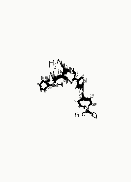 CC(=O)N1CCC(n2cc(-c3cnc(N)c(-c4nc5ccccc5[nH]4)n3)cn2)CC1